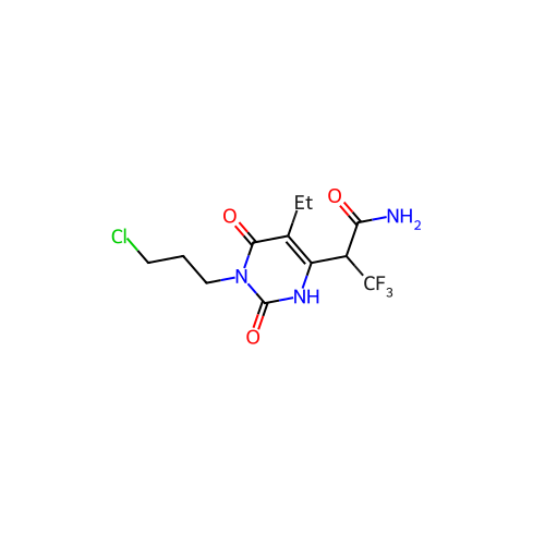 CCc1c(C(C(N)=O)C(F)(F)F)[nH]c(=O)n(CCCCl)c1=O